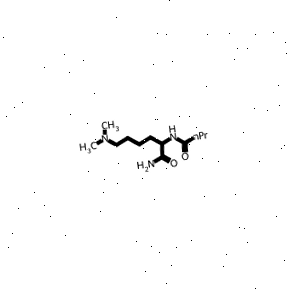 CCCC(=O)NC(CCCCN(C)C)C(N)=O